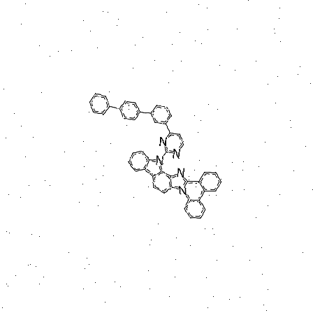 c1ccc(-c2ccc(-c3cccc(-c4ccnc(-n5c6ccccc6c6ccc7c(nc8c9ccccc9c9ccccc9n78)c65)n4)c3)cc2)cc1